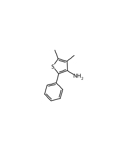 Cc1sc(-c2ccccc2)c(N)c1C